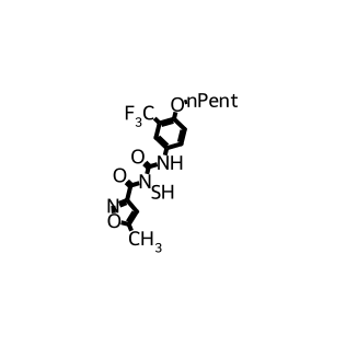 CCCCCOc1ccc(NC(=O)N(S)C(=O)c2cc(C)on2)cc1C(F)(F)F